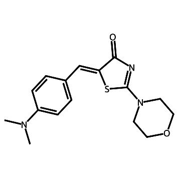 CN(C)c1ccc(/C=C2\SC(N3CCOCC3)=NC2=O)cc1